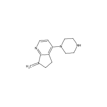 C=C1CCc2c(N3CCNCC3)ccnc21